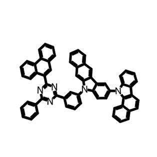 c1ccc(-c2nc(-c3cccc(-n4c5ccc(-n6c7ccccc7c7ccc8ccccc8c76)cc5c5cc6ccccc6cc54)c3)nc(-c3cc4ccccc4c4ccccc34)n2)cc1